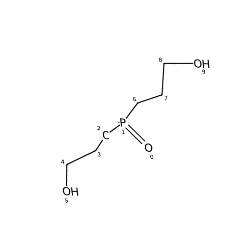 O=[P](CCCO)CCCO